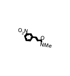 CNC(=O)/C=C/c1cccc([N+](=O)[O-])c1